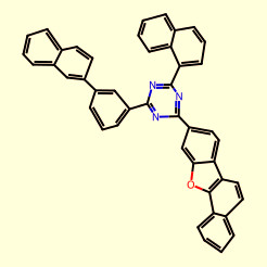 c1cc(-c2ccc3ccccc3c2)cc(-c2nc(-c3ccc4c(c3)oc3c5ccccc5ccc43)nc(-c3cccc4ccccc34)n2)c1